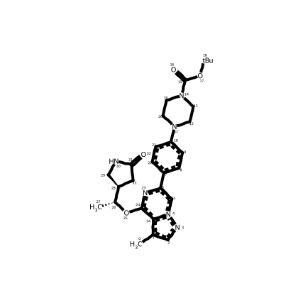 Cc1cnn2cc(-c3ccc(N4CCN(C(=O)OC(C)(C)C)CC4)cc3)nc(O[C@H](C)[C@H]3CNC(=O)C3)c12